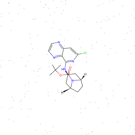 CC(C)(C)OC(=O)N1[C@@H]2CC[C@H]1C[C@H](Nc1nc(Cl)cc3nccnc13)C2